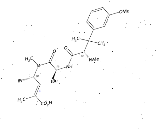 CN[C@H](C(=O)N[C@H](C(=O)N(C)[C@H](/C=C(\C)C(=O)O)C(C)C)C(C)(C)C)C(C)(C)c1cccc(OC)c1